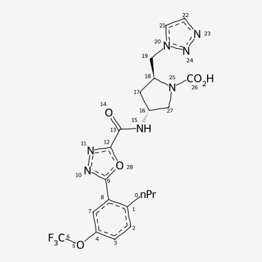 CCCc1ccc(OC(F)(F)F)cc1-c1nnc(C(=O)N[C@@H]2C[C@@H](Cn3ccnn3)N(C(=O)O)C2)o1